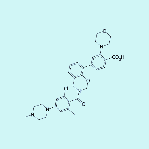 Cc1cc(N2CCN(C)CC2)cc(Cl)c1C(=O)N1COc2c(cccc2-c2ccc(C(=O)O)c(N3CCOCC3)c2)C1